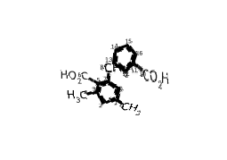 Cc1cc(C)c(C(=O)O)c(C)c1.O=C(O)c1ccccc1